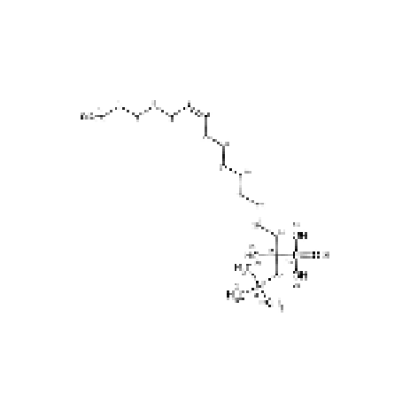 CCCCCCCCCCCCCC/C=C\CCCCCCCCC(O)(C[N+](C)(C)C)P(=O)(O)O